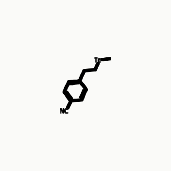 C[Te]CCc1ccc(C#N)cc1